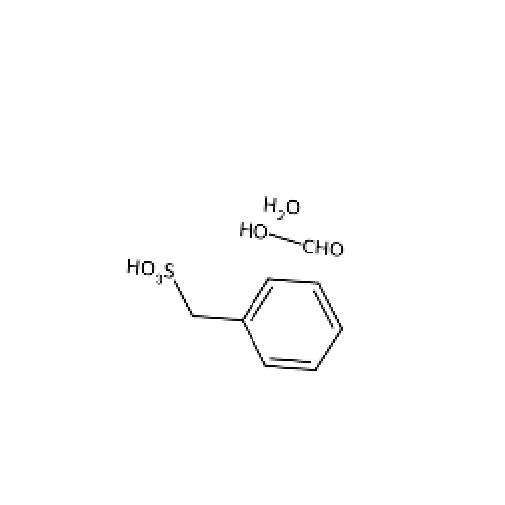 O.O=CO.O=S(=O)(O)Cc1ccccc1